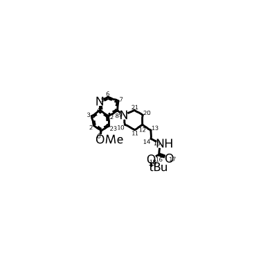 COc1ccc2nccc(N3CCC(CCNC(=O)OC(C)(C)C)CC3)c2c1